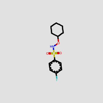 O=S(=O)(NOC1CCCCC1)c1ccc(F)cc1